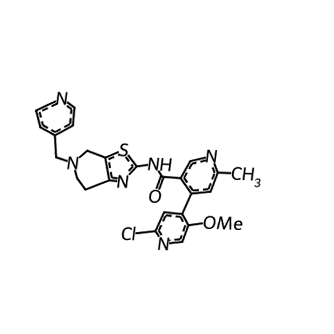 COc1cnc(Cl)cc1-c1cc(C)ncc1C(=O)Nc1nc2c(s1)CN(Cc1ccncc1)CC2